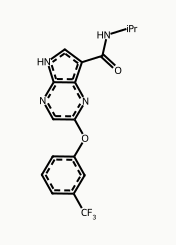 CC(C)NC(=O)c1c[nH]c2ncc(Oc3cccc(C(F)(F)F)c3)nc12